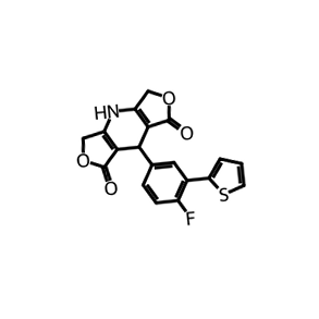 O=C1OCC2=C1C(c1ccc(F)c(-c3cccs3)c1)C1=C(COC1=O)N2